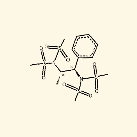 C[C@@H]([C@@H](c1ccccc1)N(S(C)(=O)=O)S(C)(=O)=O)N(S(C)(=O)=O)S(C)(=O)=O